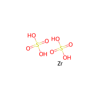 O=S(=O)(O)O.O=S(=O)(O)O.[Zr]